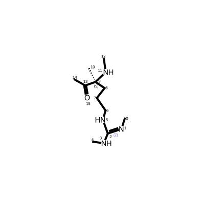 C/N=C(/NC)NCCC[C@](C)(NC)C(C)=O